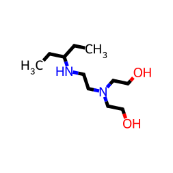 CCC(CC)NCCN(CCO)CCO